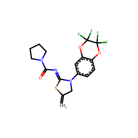 C=C1CN(c2ccc3c(c2)OC(F)(F)C(F)(F)O3)C(=NC(=O)N2CCCC2)S1